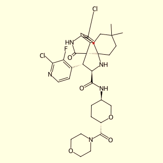 CC1(C)CCC2(CC1)N[C@@H](C(=O)N[C@@H]1CC[C@@H](C(=O)N3CCOCC3)OC1)[C@H](c1ccnc(Cl)c1F)[C@]21C(=O)Nc2cc(Cl)ccc21